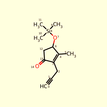 C#CCC1=C(C)C(O[Si](C)(C)C)CC1=O